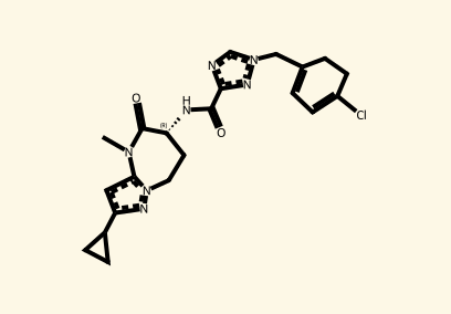 CN1C(=O)[C@H](NC(=O)c2ncn(CC3=CC=C(Cl)CC3)n2)CCn2nc(C3CC3)cc21